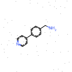 NCc1ccc(-c2c[c]ncc2)cc1